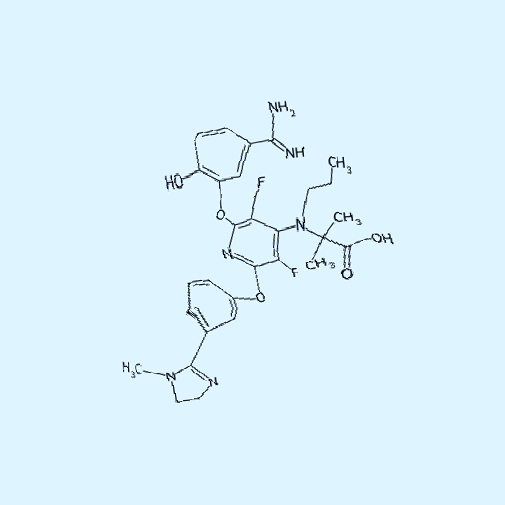 CCCN(c1c(F)c(Oc2cccc(C3=NCCN3C)c2)nc(Oc2cc(C(=N)N)ccc2O)c1F)C(C)(C)C(=O)O